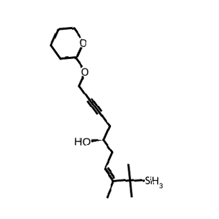 CC(=CC[C@@H](O)CC#CCOC1CCCCO1)C(C)(C)[SiH3]